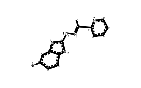 C/C(=N\Nc1nc2cc(C#N)ccc2s1)c1ccccn1